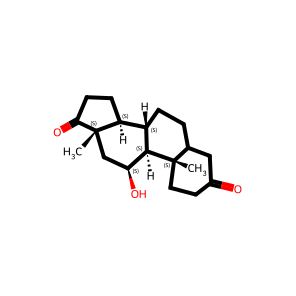 C[C@]12CCC(=O)CC1CC[C@@H]1[C@@H]2[C@@H](O)C[C@]2(C)C(=O)CC[C@@H]12